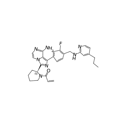 C=CC(=O)N1CCCC[C@H]1c1nc(-c2ccc(CNc3cc(CCC)ccn3)c(F)c2)c2c(N)nccn12